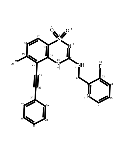 O=S1(=O)N=C(NCc2ncccc2F)Nc2c1ccc(F)c2C#Cc1ccccc1